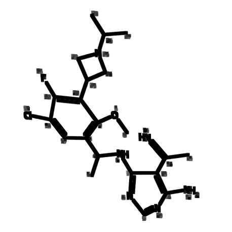 COc1c(C(C)Nc2ncnc(N)c2C(C)=N)cc(Cl)c(F)c1C1CN(C(C)C)C1